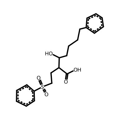 O=C(O)C(CCS(=O)(=O)c1ccccc1)C(O)CCCCc1ccccc1